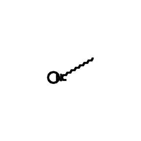 CCCCCCCCCCCCCCCC(CC)N1CCCCCCCCCCC1